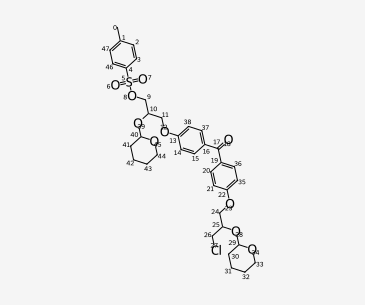 Cc1ccc(S(=O)(=O)OCC(COc2ccc(C(=O)c3ccc(OCC(CCl)OC4CCCCO4)cc3)cc2)OC2CCCCO2)cc1